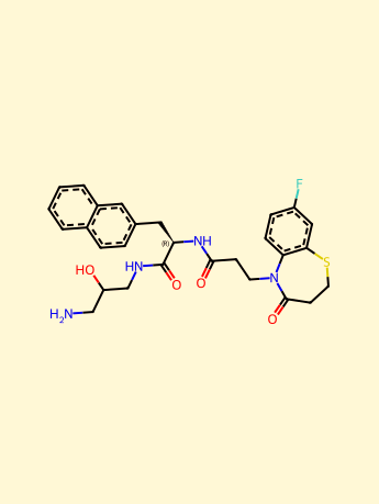 NCC(O)CNC(=O)[C@@H](Cc1ccc2ccccc2c1)NC(=O)CCN1C(=O)CCSc2cc(F)ccc21